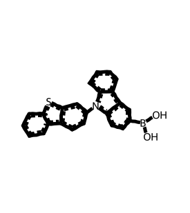 OB(O)c1ccc2c(c1)c1ccccc1n2-c1ccc2c(c1)sc1ccccc12